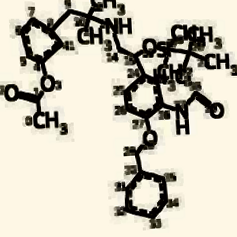 CC(=O)Oc1cccc(CC(C)(C)NC[C@@H](O[Si](C)(C)C(C)(C)C)c2ccc(OCc3ccccc3)c(NC=O)c2)c1